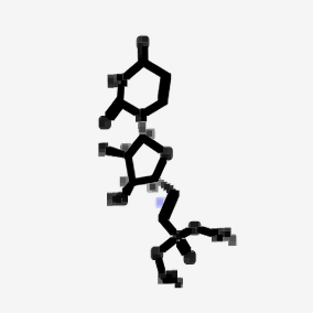 NOP(=O)(/C=C/[C@H]1O[C@@H](n2ccc(=O)[nH]c2=O)[C@H](F)[C@@H]1O)ON